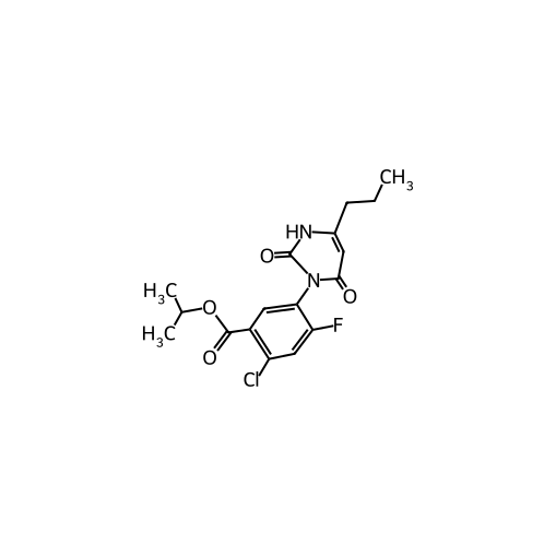 CCCc1cc(=O)n(-c2cc(C(=O)OC(C)C)c(Cl)cc2F)c(=O)[nH]1